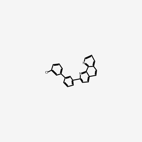 Clc1cccc(-c2cccc(-c3ccc4ccc5cccnc5c4n3)c2)c1